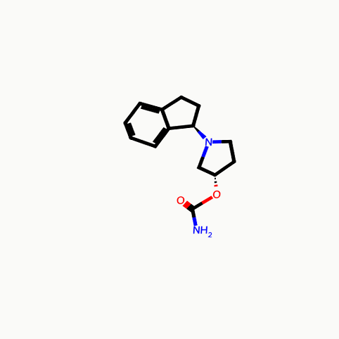 NC(=O)O[C@H]1CCN([C@@H]2CCc3ccccc32)C1